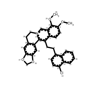 COc1ccc2c(CCc3ccc(Cl)c4ccccc34)c3[n+](cc2c1OC)CCc1cc2c(cc1-3)OCO2